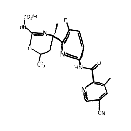 Cc1cc(C#N)cnc1C(=O)Nc1ccc(F)c([C@]2(C)C[C@@H](C(F)(F)F)OC(NC(=O)O)=N2)n1